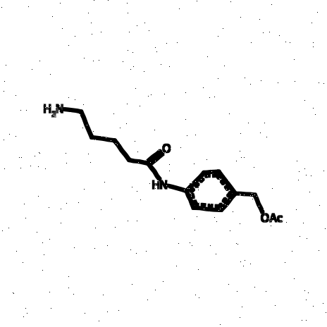 CC(=O)OCc1ccc(NC(=O)CCCCN)cc1